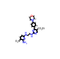 CCOC(=O)c1cnc(NCCNc2ccc([N+](=O)[O-])c(N)n2)nc1-c1ccc(N2CCOCC2)cc1